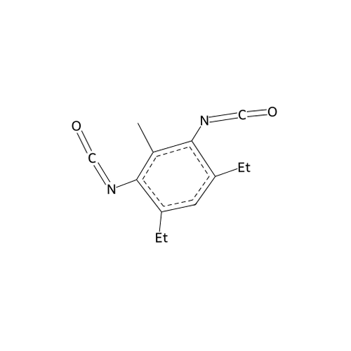 CCc1cc(CC)c(N=C=O)c(C)c1N=C=O